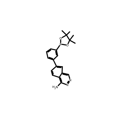 CC1(C)OB(c2cccc(-c3ccc4c(N)nncc4c3)c2)OC1(C)C